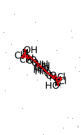 O=C(NCCCCNC(=O)NCCOCCOCCN1Cc2cc(C3CC(N4CC[C@@H](O)C4)Cc4c(Cl)cc(Cl)cc43)ccc2C1=O)NCCOCCOCCN1Cc2cc(C3CC(N4CC[C@@H](O)C4)Cc4c(Cl)cc(Cl)cc43)ccc2C1=O